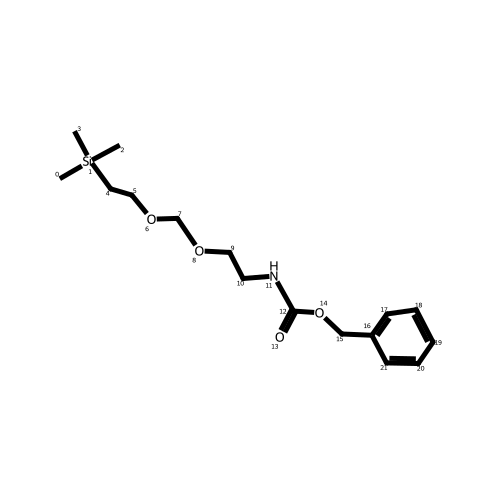 C[Si](C)(C)CCOCOCCNC(=O)OCc1ccccc1